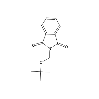 CC(C)(C)OCN1C(=O)c2ccccc2C1=O